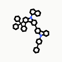 c1ccc(-c2ccc(-n3c4ccccc4c4cc(-c5ccc6c(c5)c5c7c(ccc5n6-c5cccc6ccccc56)C(c5ccccc5)(c5ccccc5)c5ccccc5-7)ccc43)cc2)cc1